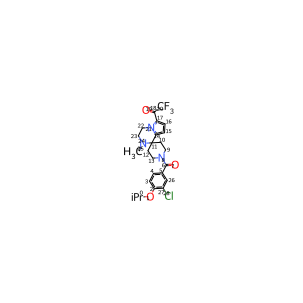 CC(C)Oc1ccc(C(=O)N2CCC3(CC2)c2ccc(C(=O)C(F)(F)F)n2CCN3C)cc1Cl